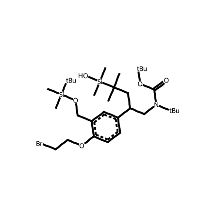 CC(C)(C)OC(=O)N(CC(CC(C)(C)[Si](C)(C)O)c1ccc(OCCBr)c(CO[Si](C)(C)C(C)(C)C)c1)C(C)(C)C